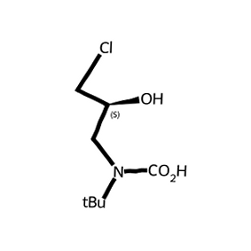 CC(C)(C)N(C[C@H](O)CCl)C(=O)O